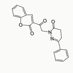 O=C(CN1N=C(c2ccccc2)CCC1=O)c1cc2ccccc2oc1=O